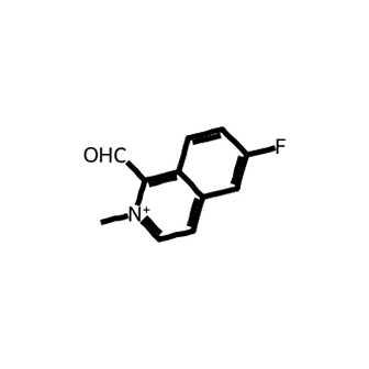 C[n+]1ccc2cc(F)ccc2c1C=O